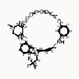 CN1CC[C@H]2Cc3cccc4c3cc(n4CC(F)(F)F)C#CCNc3cccc(c3)OCCOCCOCC[C@H]2C1